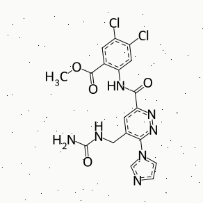 COC(=O)c1cc(Cl)c(Cl)cc1NC(=O)c1cc(CNC(N)=O)c(-n2ccnc2)nn1